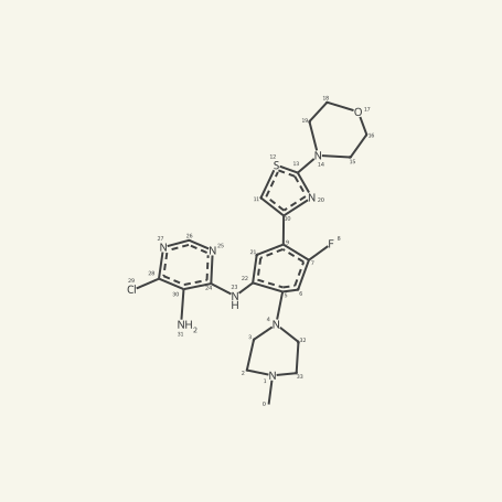 CN1CCN(c2cc(F)c(-c3csc(N4CCOCC4)n3)cc2Nc2ncnc(Cl)c2N)CC1